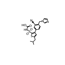 CC(C)Cc1cc(-c2ccc(Cn3ccnc3)c(C#N)c2)c(S(=O)(=O)NC(=O)O)s1